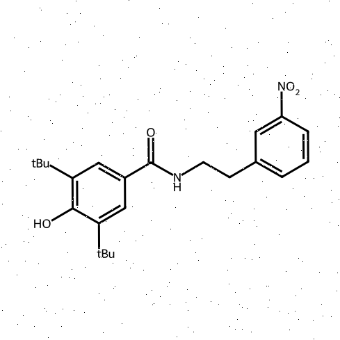 CC(C)(C)c1cc(C(=O)NCCc2cccc([N+](=O)[O-])c2)cc(C(C)(C)C)c1O